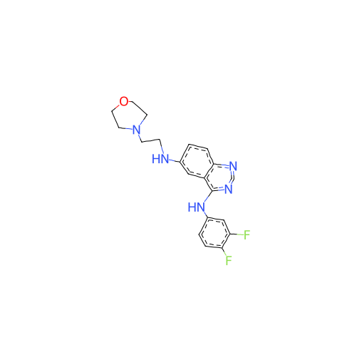 Fc1ccc(Nc2ncnc3ccc(NCCN4CCOCC4)cc23)cc1F